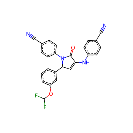 N#Cc1ccc(NC2=CC(c3cccc(OC(F)F)c3)N(c3ccc(C#N)cc3)C2=O)cc1